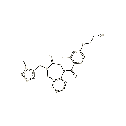 Cn1nnnc1CN1Cc2ccccc2N(C(=O)c2ccc(OCCO)cc2Cl)CC1=O